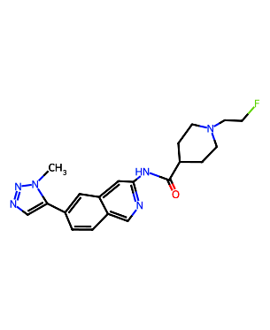 Cn1nncc1-c1ccc2cnc(NC(=O)C3CCN(CCF)CC3)cc2c1